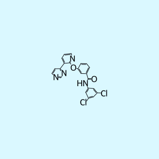 O=C(Nc1cc(Cl)cc(Cl)c1)c1cccc(Oc2ncccc2-c2ccncn2)c1